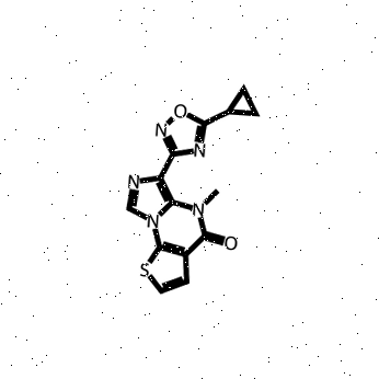 Cn1c(=O)c2ccsc2n2cnc(-c3noc(C4CC4)n3)c12